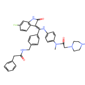 CN1CCN(CC(=O)N(C)c2ccc(N/C(=C3\C(=O)Nc4cc(F)ccc43)c3ccc(CNC(=O)Cc4ccccc4)cc3)cc2)CC1